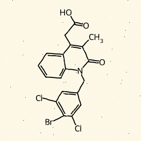 Cc1c(CC(=O)O)c2ccccc2n(Cc2cc(Cl)c(Br)c(Cl)c2)c1=O